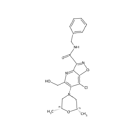 C[C@@H]1CN(c2c(CO)nc3c(C(=O)NCc4ccccc4)noc3c2Cl)C[C@H](C)O1